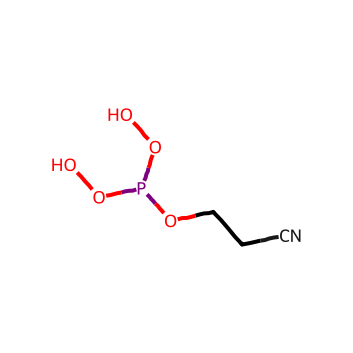 N#CCCOP(OO)OO